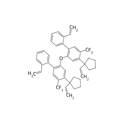 C=Cc1ccccc1-c1cc(C(F)(F)F)c(C2(C=C)CCCC2)cc1Oc1cc(C2(C=C)CCCC2)c(C(F)(F)F)cc1-c1ccccc1C=C